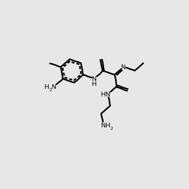 C=C(NCCN)/C(=N\CC)C(=C)Nc1ccc(C)c(N)c1